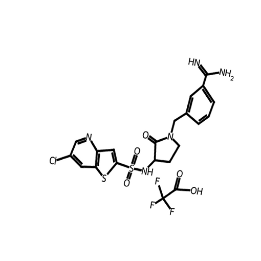 N=C(N)c1cccc(CN2CCC(NS(=O)(=O)c3cc4ncc(Cl)cc4s3)C2=O)c1.O=C(O)C(F)(F)F